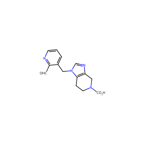 O=Cc1ncccc1Cn1cnc2c1CCN(C(=O)O)C2